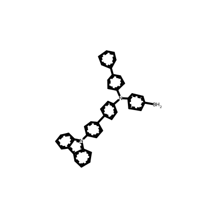 Bc1ccc(N(c2ccc(-c3ccccc3)cc2)c2ccc(-c3ccc(-n4c5ccccc5c5ccccc54)cc3)cc2)cc1